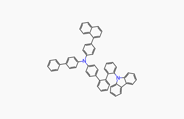 c1ccc(-c2ccc(N(c3ccc(-c4ccccc4-c4ccccc4-n4c5ccccc5c5ccccc54)cc3)c3ccc(-c4cccc5ccccc45)cc3)cc2)cc1